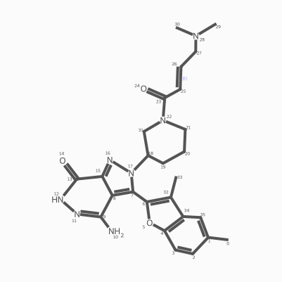 Cc1ccc2oc(-c3c4c(N)n[nH]c(=O)c4nn3C3CCCN(C(=O)/C=C/CN(C)C)C3)c(C)c2c1